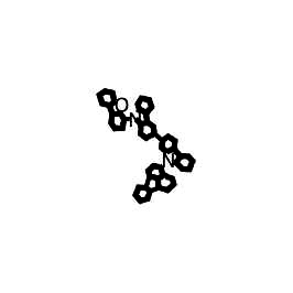 c1ccc2c(c1)-c1cccc3c(-n4c5ccccc5c5ccc(-c6ccc7c(c6)c6ccccc6n7-c6cccc7c6oc6ccccc67)cc54)ccc-2c13